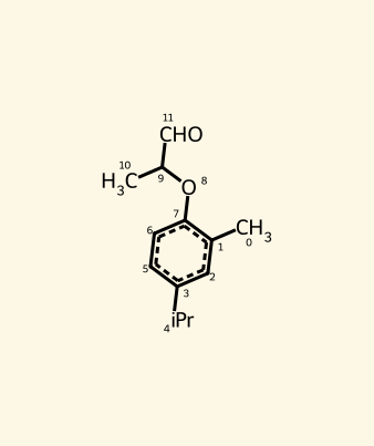 Cc1cc(C(C)C)ccc1OC(C)C=O